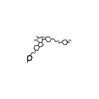 CC(=O)C1(C)CCC(COCCN2CCC(C3NC(C)NC4C5CCC(OCc6ccc(C)cc6)CC5CCC34)CC2)CC1